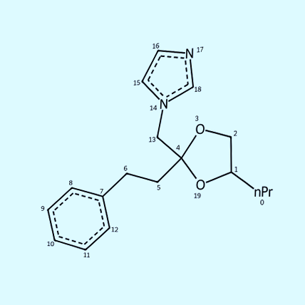 CCCC1COC(CCc2ccccc2)(Cn2ccnc2)O1